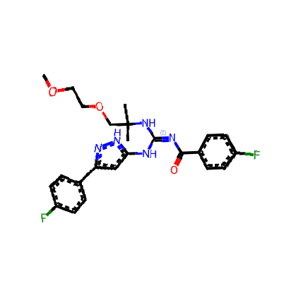 COCCOCC(C)(C)N/C(=N/C(=O)c1ccc(F)cc1)Nc1cc(-c2ccc(F)cc2)n[nH]1